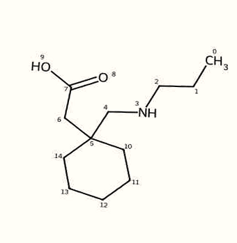 CCCNCC1(CC(=O)O)CCCCC1